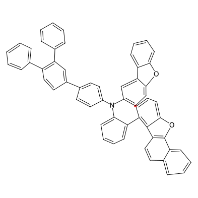 c1ccc(-c2ccc(-c3ccc(N(c4ccc5oc6ccccc6c5c4)c4ccccc4-c4cccc5oc6c7ccccc7ccc6c45)cc3)cc2-c2ccccc2)cc1